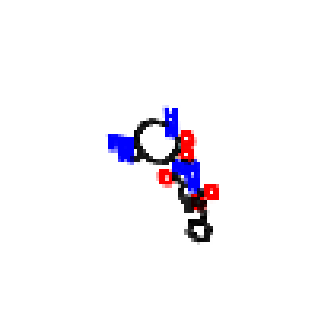 CC(C)CC(NC(=O)OCc1ccccc1)C(=O)NC1CCc2cn[nH]c2CCCCNC(=O)C1=O